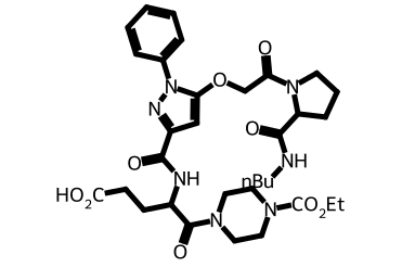 CCCCNC(=O)C1CCCN1C(=O)COc1cc(C(=O)NC(CCC(=O)O)C(=O)N2CCN(C(=O)OCC)CC2)nn1-c1ccccc1